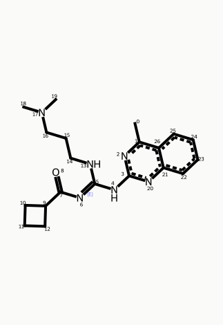 Cc1nc(N/C(=N/C(=O)C2CCC2)NCCCN(C)C)nc2ccccc12